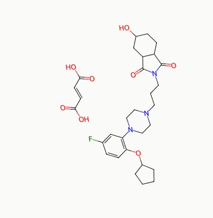 O=C(O)C=CC(=O)O.O=C1C2CCC(O)CC2C(=O)N1CCCN1CCN(c2cc(F)ccc2OC2CCCC2)CC1